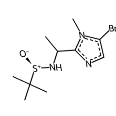 CC(N[S@+]([O-])C(C)(C)C)c1ncc(Br)n1C